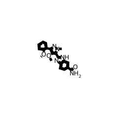 COc1ccccc1-c1nn(C)c(-c2nc3ccc(C(N)=O)cc3[nH]2)c1OC